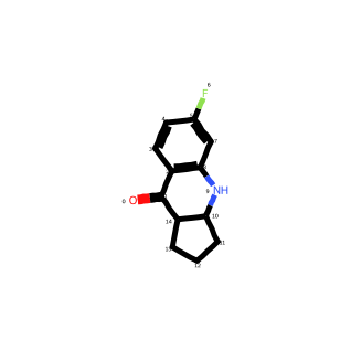 O=C1c2ccc(F)cc2NC2CCCC12